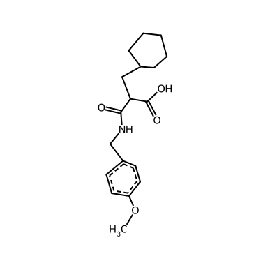 COc1ccc(CNC(=O)C(CC2CCCCC2)C(=O)O)cc1